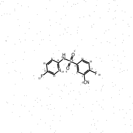 N#Cc1cc(S(=O)(=O)Nc2ccc(F)cn2)ccc1F